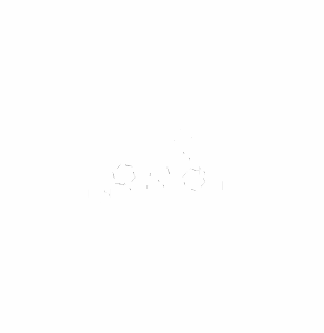 CC(C)(C)c1ccc(C(=O)NS(=O)(=O)c2cccc(N)n2)c(N2CC3CC(C3)C2)n1